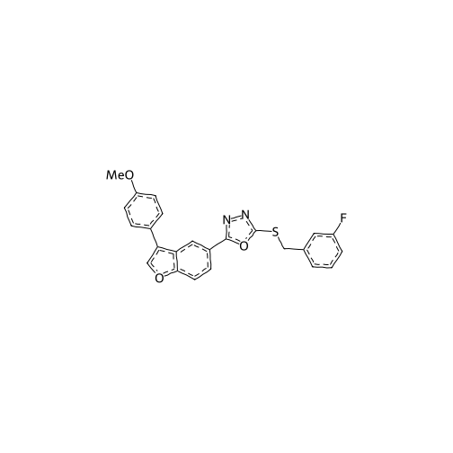 COc1ccc(-c2coc3ccc(-c4nnc(SCc5cccc(F)c5)o4)cc23)cc1